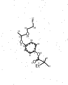 CCC(C)(C)C(=O)Oc1ccc(OC(C)OCCF)cc1